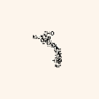 CNC(=O)C(CCC=O)N1C(=O)c2ccc(N3CCN(CC4CCN(c5ccc(C(=O)NC6CCCCC6)cn5)CC4)CC3)cc2C1=O